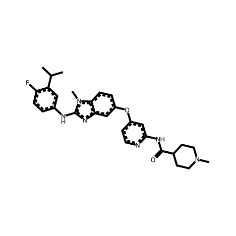 CC(C)c1cc(Nc2nc3cc(Oc4ccnc(NC(=O)C5CCN(C)CC5)c4)ccc3n2C)ccc1F